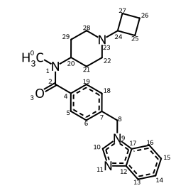 CN(C(=O)c1ccc(Cn2cnc3ccccc32)cc1)C1CCN(C2CCC2)CC1